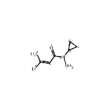 CC/C(C)=C/C(=O)N(N)C1CC1